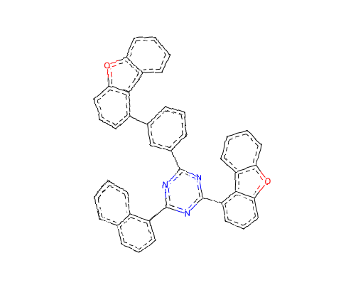 c1cc(-c2nc(-c3cccc4ccccc34)nc(-c3cccc4oc5ccccc5c34)n2)cc(-c2cccc3oc4ccccc4c23)c1